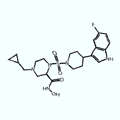 O=C(NO)C1CN(CC2CC2)CCN1S(=O)(=O)N1CCC(c2c[nH]c3ccc(F)cc23)CC1